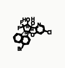 O[C@@H]1C(F)(F)[C@@H](c2ccccc2)[C@]2(c3ccc(Br)cc3)Oc3cc(Cl)cnc3[C@]12O